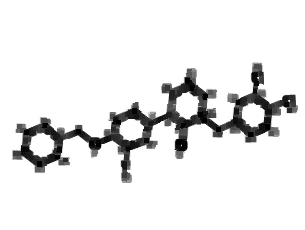 O=c1c(-c2ccc(OCc3ccccc3)c(F)c2)cncn1Cc1ccc(Cl)c(Cl)c1